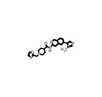 Cn1cncc1-c1ccc2cnc(NC(=O)C3CCN(Cc4ncco4)CC3)cc2c1